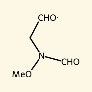 CON(C=O)C[C]=O